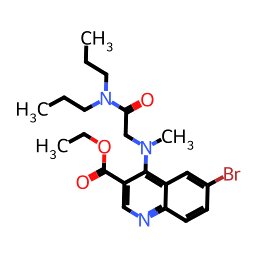 CCCN(CCC)C(=O)CN(C)c1c(C(=O)OCC)cnc2ccc(Br)cc12